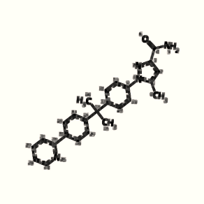 Cc1cc(C(N)=O)nn1-c1ccc(C(C)(C)c2ccc(-c3ccccn3)cc2)cc1